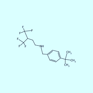 CC(C)(C)c1ccc(CNCCC(C(F)(F)F)C(F)(F)F)cc1